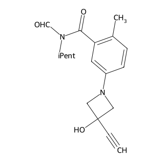 C#CC1(O)CN(c2ccc(C)c(C(=O)N(C=O)C(C)CCC)c2)C1